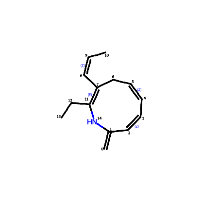 C=C1/C=C\C=C/CC(/C=C\C)=C(/CC)N1